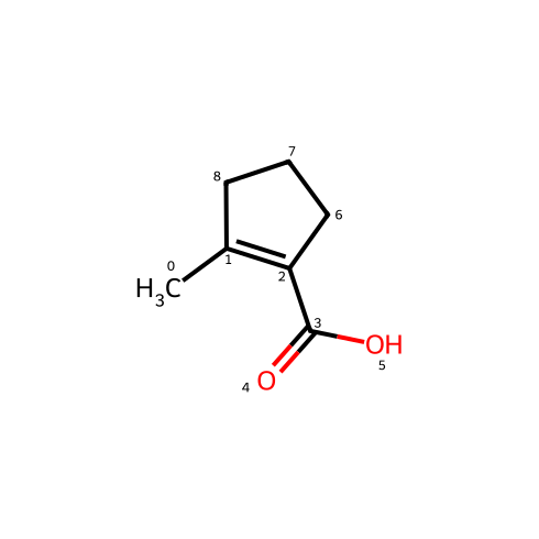 CC1=C(C(=O)O)CCC1